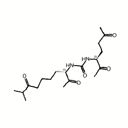 CC(=O)CC[C@H](NC(=O)N[C@@H](CCCCC(=O)C(C)C)C(C)=O)C(C)=O